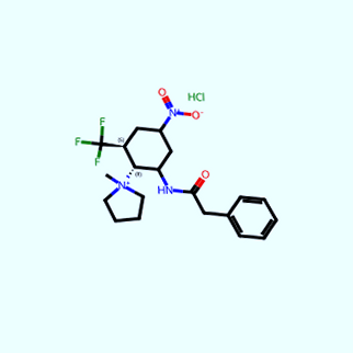 C[N+]1([C@H]2C(NC(=O)Cc3ccccc3)CC([N+](=O)[O-])C[C@@H]2C(F)(F)F)CCCC1.Cl